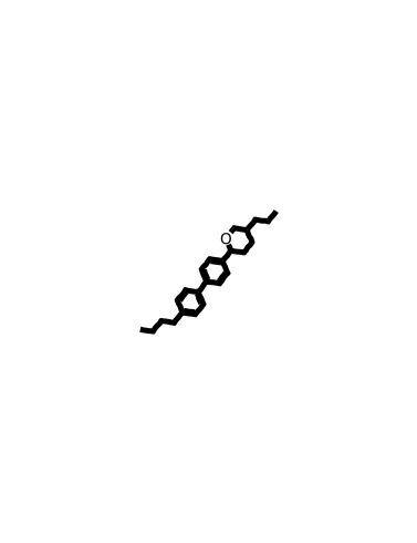 CCCCc1ccc(-c2ccc(C3CCC(CCC)CO3)cc2)cc1